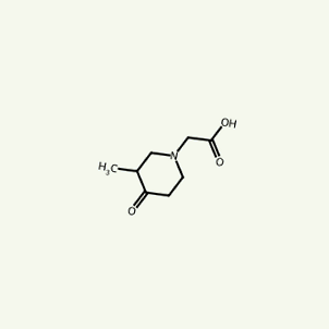 CC1CN(CC(=O)O)CCC1=O